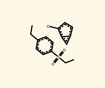 CCc1ccc(S(=O)(=O)CC)cc1.Clc1ccc2cc1-2